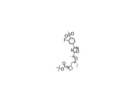 CC[C@H](CC1CCN1C(=O)OC(C)(C)C)O[C@H](C)c1nc(-c2ccc(S(C)(=O)=O)c(F)c2)no1